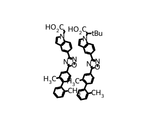 Cc1ccccc1-c1ccc(-c2nc(-c3ccc4c(ccn4C(C(=O)O)C(C)(C)C)c3)no2)cc1C.Cc1ccccc1-c1ccc(-c2nc(-c3ccc4c(ccn4CC(=O)O)c3)no2)cc1C